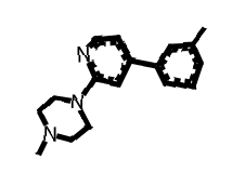 Cc1cccc(-c2ccnc(N3CCN(C)CC3)c2)c1